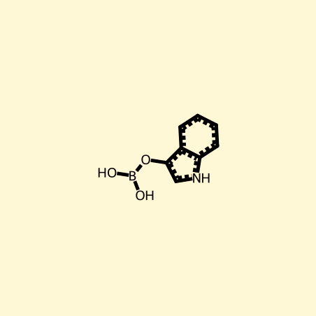 OB(O)Oc1c[nH]c2ccccc12